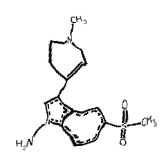 CN1CC=C(c2cn(N)c3ccc(S(C)(=O)=O)cc23)CC1